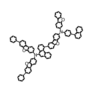 c1ccc(-c2ccc3c(c2)oc2cc(N(c4ccc5c(c4)oc4cc(-c6ccccc6)ccc45)c4cc5ccccc5c5c(-c6ccc7oc8cc(N(c9ccc(-c%10cccc%11ccccc%10%11)cc9)c9ccc%10c(c9)oc9ccccc9%10)ccc8c7c6)cccc45)ccc23)cc1